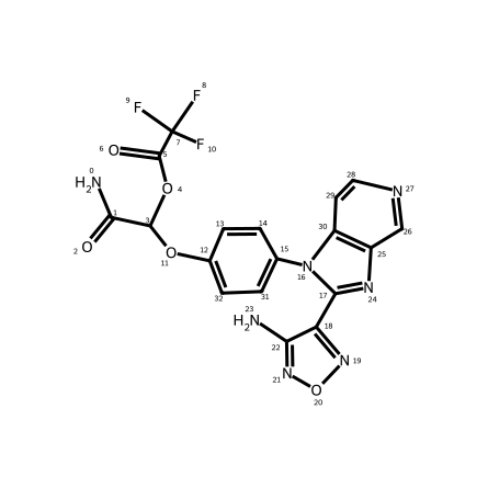 NC(=O)C(OC(=O)C(F)(F)F)Oc1ccc(-n2c(-c3nonc3N)nc3cnccc32)cc1